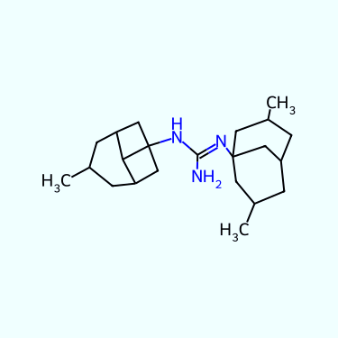 CC1CC2CC3(N/C(N)=N/C45CC(C)CC(CC(C)C4)C5)CC(C1)C23